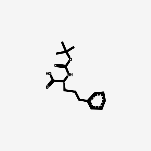 CC(C)(C)OC(=O)N[C@@H](CCCc1ccccc1)C(=O)O